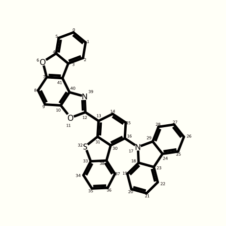 c1ccc2c(c1)oc1ccc3oc(-c4ccc(-n5c6ccccc6c6ccccc65)c5c4sc4ccccc45)nc3c12